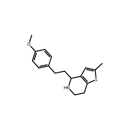 COc1ccc(CCC2NCCc3sc(C)cc32)cc1